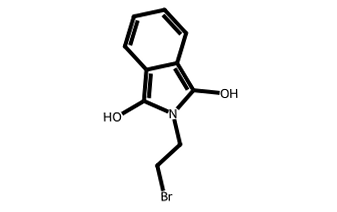 Oc1c2ccccc2c(O)n1CCBr